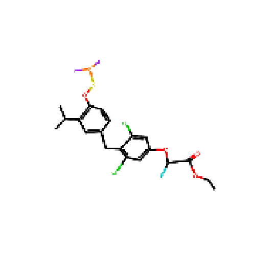 CCOC(=O)C(F)Oc1cc(Cl)c(Cc2ccc(OSP(I)I)c(C(C)C)c2)c(Cl)c1